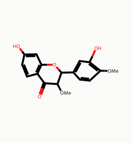 COc1ccc(C2Oc3cc(O)ccc3C(=O)C2OC)cc1O